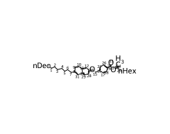 CCCCCCCCCCCCCCCCCc1ccc2cc(OCc3ccc(C(=O)O[C@H](C)CCCCCC)cc3)ccc2c1